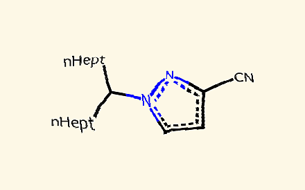 CCCCCCCC(CCCCCCC)n1ccc(C#N)n1